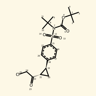 CC(C)(C)OC(=O)N(C(C)(C)C)S(=O)(=O)c1ccc([C@H]2C[C@@H]2C(=O)CCl)cc1